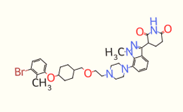 Cc1c(Br)cccc1OC1CCC(COCCN2CCN(c3cccc4c(C5CCC(=O)NC5=O)nn(C)c34)CC2)CC1